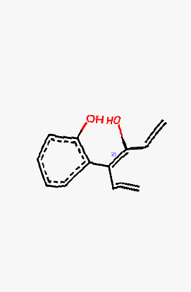 C=C/C(O)=C(\C=C)c1ccccc1O